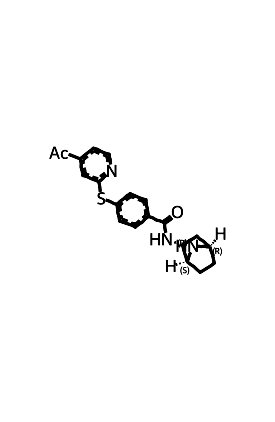 CC(=O)c1ccnc(Sc2ccc(C(=O)N[C@@H]3C[C@H]4CC[C@@H]3N4)cc2)c1